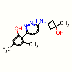 Cc1cc(C(F)(F)F)cc(O)c1-c1ccc(N[C@H]2C[C@@](C)(O)C2)nn1